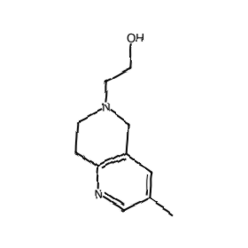 Cc1cnc2c(c1)CN(CCO)CC2